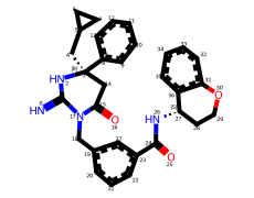 N=C1N[C@@](CC2CC2)(c2ccccc2)CC(=O)N1Cc1cccc(C(=O)N[C@H]2CCOc3ccccc32)c1